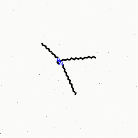 CCCCCCCCCCCCCCCCC1N(CCCCCCCCCCC)C=CN1CCCCCCCCCCCCCCCC